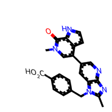 Cc1nc2ncc(-c3cn(C)c(=O)c4[nH]ccc34)cc2n1Cc1ccc(C(=O)O)cc1